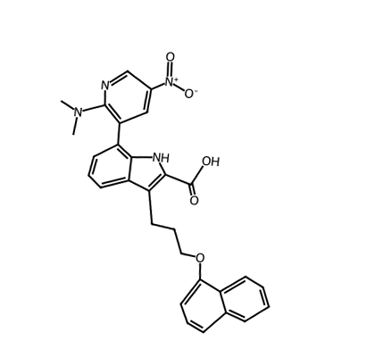 CN(C)c1ncc([N+](=O)[O-])cc1-c1cccc2c(CCCOc3cccc4ccccc34)c(C(=O)O)[nH]c12